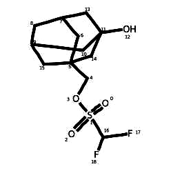 O=S(=O)(OCC12CC3CC(CC(O)(C3)C1)C2)C(F)F